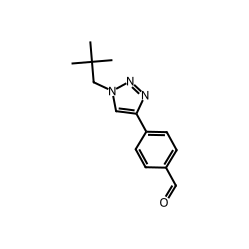 CC(C)(C)Cn1cc(-c2ccc(C=O)cc2)nn1